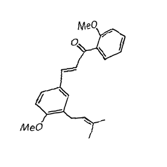 COc1ccc(/C=C/C(=O)c2ccccc2OC)cc1CC=C(C)C